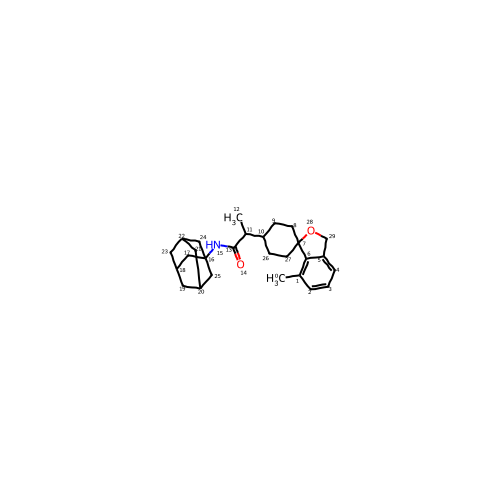 Cc1cccc2c1C1(CCC(C(C)C(=O)NC34CC5CC(CC(C5)C3)C4)CC1)OC2